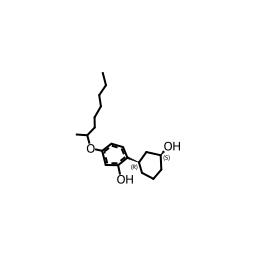 CCCCCCC(C)Oc1ccc([C@@H]2CCC[C@H](O)C2)c(O)c1